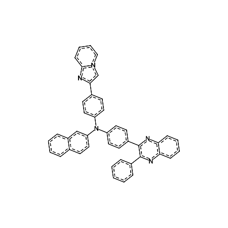 c1ccc(-c2nc3ccccc3nc2-c2ccc(N(c3ccc(-c4cn5ccccc5n4)cc3)c3ccc4ccccc4c3)cc2)cc1